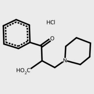 Cl.O=C(O)C(CN1CCCCC1)C(=O)c1ccccc1